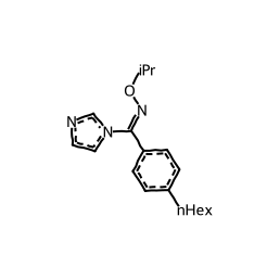 CCCCCCc1ccc(C(=NOC(C)C)n2ccnc2)cc1